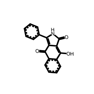 O=C1NC(c2ccccc2)=C2C(=O)c3ccccc3C(O)=C12